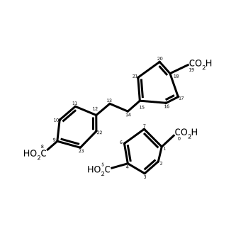 O=C(O)c1ccc(C(=O)O)cc1.O=C(O)c1ccc(CCc2ccc(C(=O)O)cc2)cc1